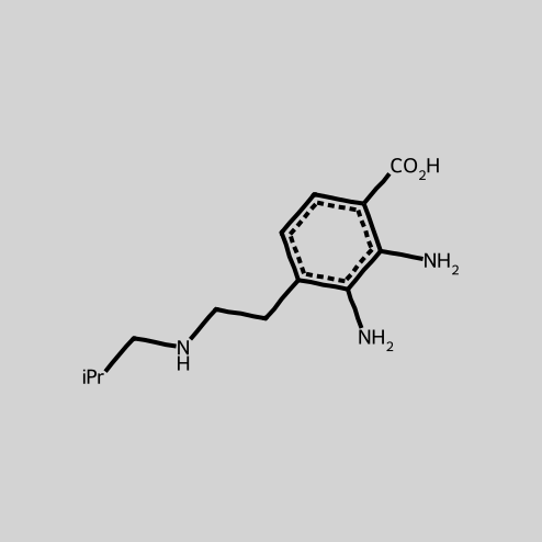 CC(C)CNCCc1ccc(C(=O)O)c(N)c1N